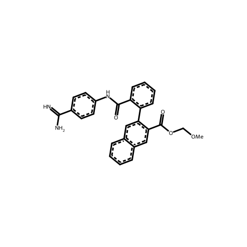 COCOC(=O)c1cc2ccccc2cc1-c1ccccc1C(=O)Nc1ccc(C(=N)N)cc1